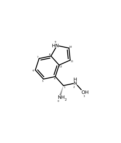 N[C@@H](NO)c1cccc2[nH]ccc12